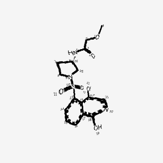 COCC(=O)N[C@H]1CCN(S(=O)(=O)c2cccc3c(O)ncc(Cl)c23)C1